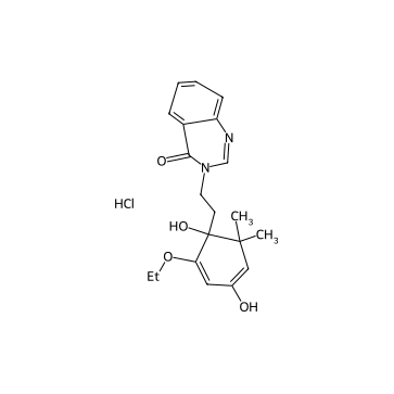 CCOC1=CC(O)=CC(C)(C)C1(O)CCn1cnc2ccccc2c1=O.Cl